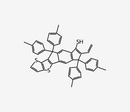 C=CC1=C(S)c2cc3c(cc2C1(c1ccc(C)cc1)c1ccc(C)cc1)-c1sc2ccsc2c1C3(c1ccc(C)cc1)c1ccc(C)cc1